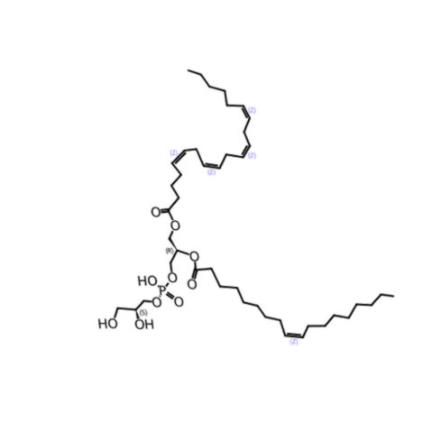 CCCCC/C=C\C/C=C\C/C=C\C/C=C\CCCC(=O)OC[C@H](COP(=O)(O)OC[C@@H](O)CO)OC(=O)CCCCCCC/C=C\CCCCCCCC